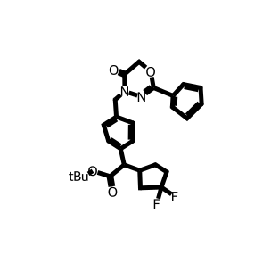 CC(C)(C)OC(=O)C(c1ccc(CN2N=C(c3ccccc3)OCC2=O)cc1)C1CCC(F)(F)C1